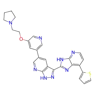 c1csc(-c2ccnc3[nH]c(-c4n[nH]c5ncc(-c6cncc(OCCN7CCCC7)c6)cc45)nc23)c1